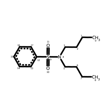 CCCCN(CCCC)S(=O)(=O)c1ccccc1